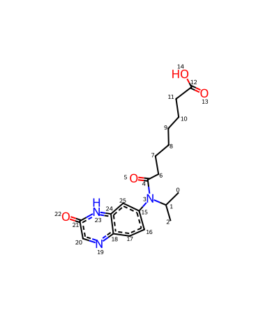 CC(C)N(C(=O)CCCCCCC(=O)O)c1ccc2ncc(=O)[nH]c2c1